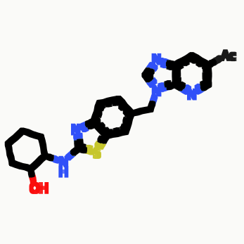 CC(=O)c1cnc2c(c1)ncn2Cc1ccc2nc(NC3CCCCC3O)sc2c1